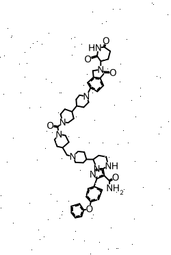 NC(=O)c1c(-c2ccc(Oc3ccccc3)cc2)nn2c1NCCC2C1CCN(CC2CCN(C(=O)N3CCC(C4CCN(c5ccc6c(c5)CN(C5CCC(=O)NC5=O)C6=O)CC4)CC3)CC2)CC1